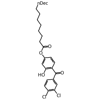 CCCCCCCCCCCCCCCCCC(=O)Oc1ccc(C(=O)c2ccc(Cl)c(Cl)c2)c(O)c1